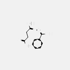 O=C(O)CCC(=O)O.O=C(O)c1ccccc1